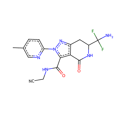 Cc1ccc(-n2nc3c(c2C(=O)NCC#N)C(=O)NC(C(N)(F)F)C3)nc1